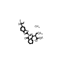 C.CCC(C(=O)O)c1nn(-c2nc3cc(C(F)(F)F)ccc3s2)c(=O)c2ccccc12